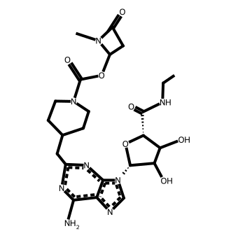 CCNC(=O)[C@H]1O[C@@H](n2cnc3c(N)nc(CC4CCN(C(=O)OC5CC(=O)N5C)CC4)nc32)C(O)C1O